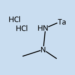 CN(C)[NH][Ta].Cl.Cl